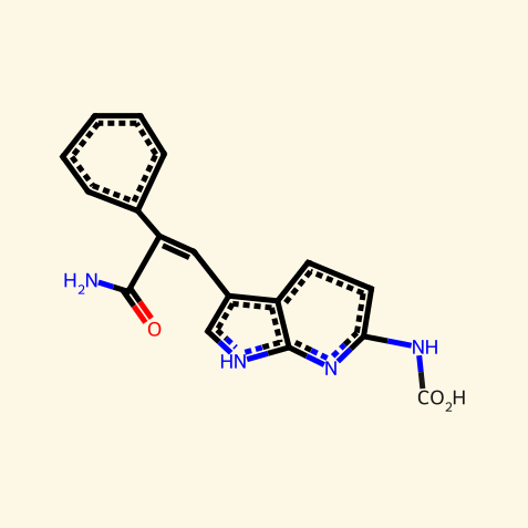 NC(=O)/C(=C\c1c[nH]c2nc(NC(=O)O)ccc12)c1ccccc1